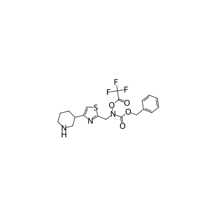 O=C(OCc1ccccc1)N(Cc1nc(C2CCCNC2)cs1)OC(=O)C(F)(F)F